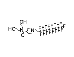 O=C(C1=CCN(CCC(F)(F)C(F)(F)C(F)(F)C(F)(F)C(F)(F)C(F)(F)C(F)(F)C(F)(F)F)C=C1)N(CCO)CCO